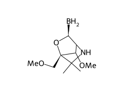 B[C@@H]1O[C@]2(COC)C(OC)C1NC2(C)C